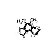 Cc1c2c(c3nccnc3c1C)CNC2